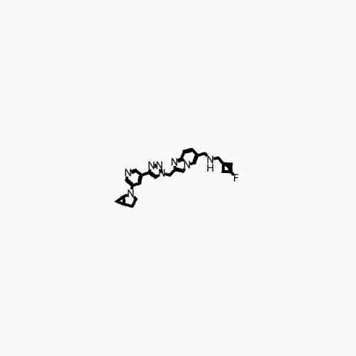 FC12CC(CNCc3ccc4nc(Cn5cc(-c6cncc(N7CCC8CC87)c6)nn5)cn4c3)(C1)C2